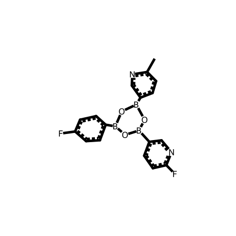 Cc1ccc(B2OB(c3ccc(F)cc3)OB(c3ccc(F)nc3)O2)cn1